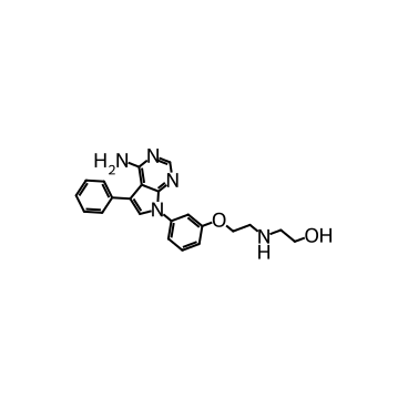 Nc1ncnc2c1c(-c1ccccc1)cn2-c1cccc(OCCNCCO)c1